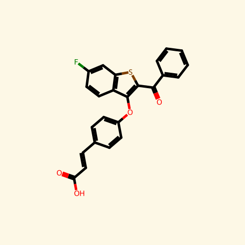 O=C(O)C=Cc1ccc(Oc2c(C(=O)c3ccccc3)sc3cc(F)ccc23)cc1